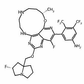 C[C@H]1CCNCCNc2nc(OCC34CCCN3C[C@H](F)C4)nc3c(F)c(-c4cc(N)cc(C(F)(F)F)c4C(F)(F)F)nc(c23)O1